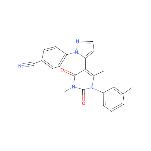 Cc1cccc(-n2c(C)c(-c3ccnn3-c3ccc(C#N)cc3)c(=O)n(C)c2=O)c1